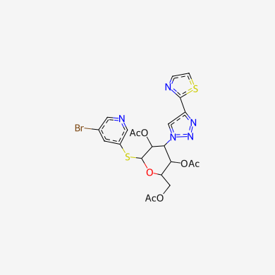 CC(=O)OCC1OC(Sc2cncc(Br)c2)C(OC(C)=O)C(n2cc(-c3nccs3)nn2)C1OC(C)=O